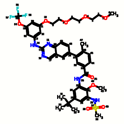 COCCOCCOCCOc1cc(Nc2ncc3cc(-c4cc(C(=O)Nc5cc(C(C)(C)C)cc(NS(C)(=O)=O)c5OC)ccc4C)ccc3n2)cc(OC(F)(F)F)c1